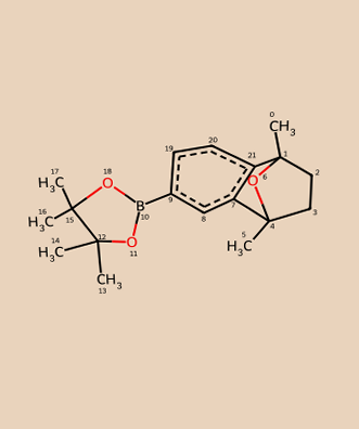 CC12CCC(C)(O1)c1cc(B3OC(C)(C)C(C)(C)O3)ccc12